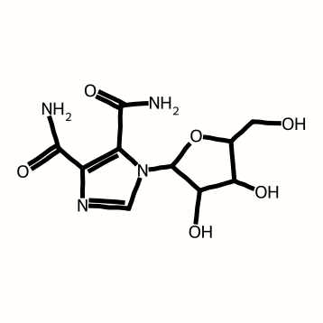 NC(=O)c1ncn(C2OC(CO)C(O)C2O)c1C(N)=O